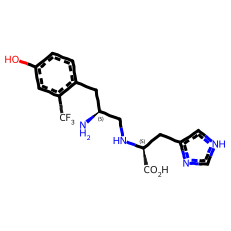 N[C@H](CN[C@@H](Cc1c[nH]cn1)C(=O)O)Cc1ccc(O)cc1C(F)(F)F